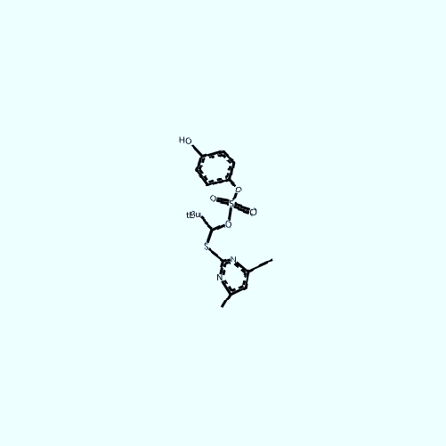 Cc1cc(C)nc(SC(OS(=O)(=O)Oc2ccc(O)cc2)C(C)(C)C)n1